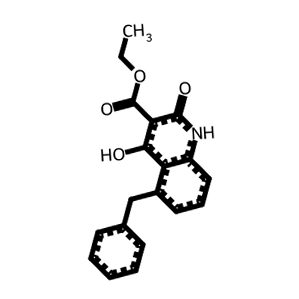 CCOC(=O)c1c(O)c2c(Cc3ccccc3)cccc2[nH]c1=O